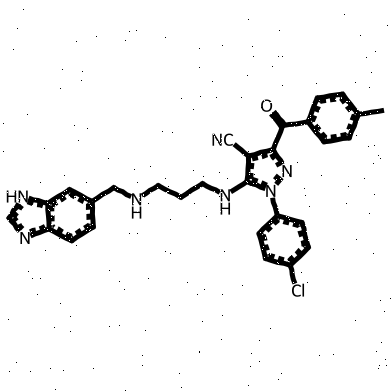 Cc1ccc(C(=O)c2nn(-c3ccc(Cl)cc3)c(NCCCNCc3ccc4nc[nH]c4c3)c2C#N)cc1